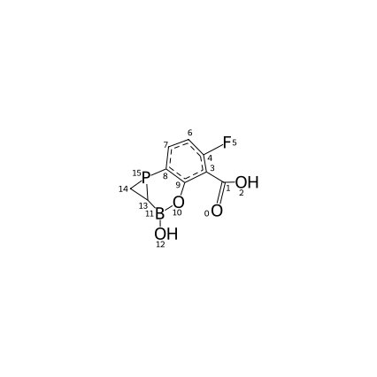 O=C(O)c1c(F)ccc2c1OB(O)C1CP21